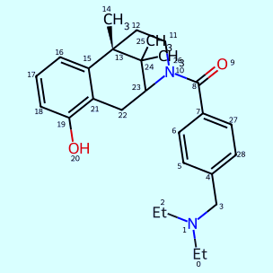 CCN(CC)Cc1ccc(C(=O)N2CC[C@@]3(C)c4cccc(O)c4CC2C3(C)C)cc1